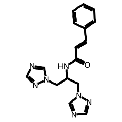 O=C(C=Cc1ccccc1)NC(Cn1cncn1)Cn1cncn1